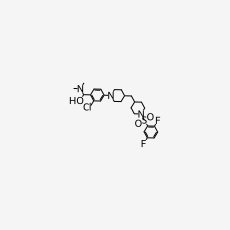 CN(C)C(O)c1ccc(N2CCC(CC3CCN(S(=O)(=O)c4cc(F)ccc4F)CC3)CC2)cc1Cl